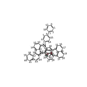 c1ccc(-c2ccc(N(c3cccc(-c4cccc5cccc(-c6ccccc6)c45)c3)c3cccc4c5c6ccccc6ccc5n(-c5ccccc5)c34)cc2)cc1